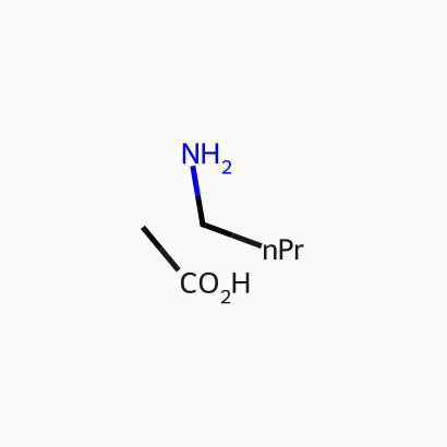 CC(=O)O.CCCCN